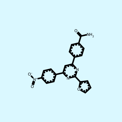 NC(=O)c1ccc(-c2cc(-c3ccc([N+](=O)[O-])cc3)nc(-c3ccco3)n2)cc1